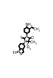 C=Cc1cc(N2C(=O)C(C)(C)N(c3ccc4c(cnn4CC)c3)C2=S)ccc1N